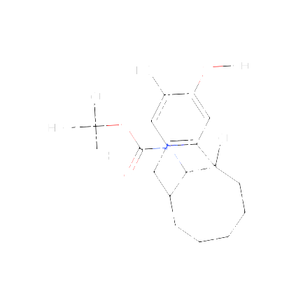 COc1cc2c(cc1C)CC1CCCCCC2(C)C1NC(=O)OC(C)(C)C